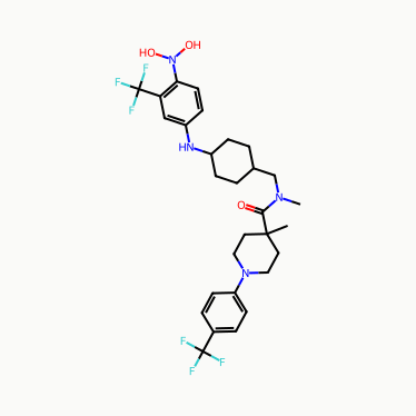 CN(CC1CCC(Nc2ccc(N(O)O)c(C(F)(F)F)c2)CC1)C(=O)C1(C)CCN(c2ccc(C(F)(F)F)cc2)CC1